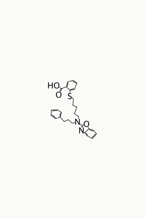 O=C(O)c1ccccc1SCCCCCN(CCCc1ccccc1)c1nc2ccccc2o1